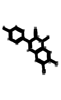 Cc1ccc(-c2nc3cc(Cl)c(Cl)cc3n(C)c2=O)cc1